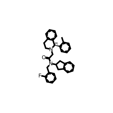 Cc1ccccc1[C@@H]1c2ccccc2CCN1CC(=O)N(Cc1ccccc1F)C1Cc2ccccc2C1